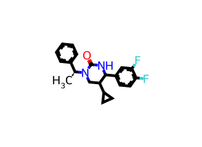 C[C@H](c1ccccc1)N1CC(C2CC2)C(c2ccc(F)c(F)c2)NC1=O